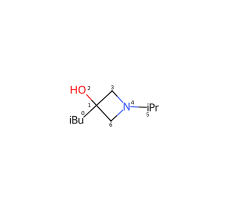 CCC(C)C1(O)CN(C(C)C)C1